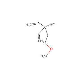 C=CC(C=C)(CCC)CCO[SiH3]